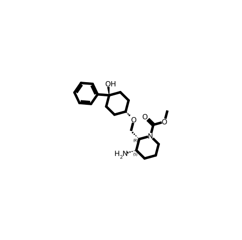 COC(=O)N1CCC[C@H](N)[C@@H]1CO[C@H]1CC[C@@](O)(c2ccccc2)CC1